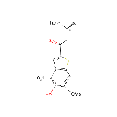 CC[C@@H](CC(=O)c1cc2c([N+](=O)[O-])c(O)c(OC)cc2s1)C(=O)O